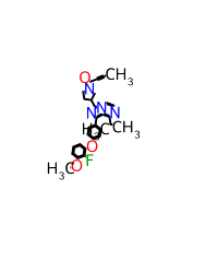 CC#CC(=O)N1CCC(c2nc(-c3ccc(Oc4cccc(OC)c4F)cc3)c3c(C(C)C)nccn23)C1